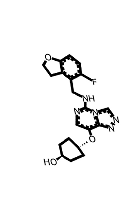 O[C@H]1CC[C@H](Oc2cnc(NCc3c(F)ccc4c3CCO4)n3cnnc23)CC1